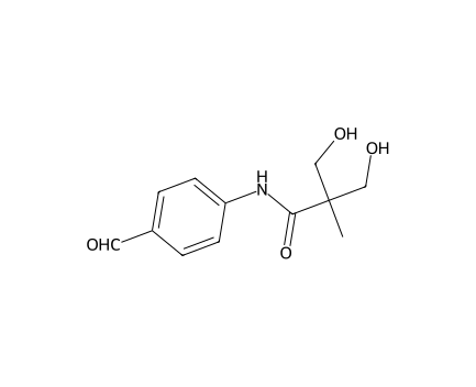 CC(CO)(CO)C(=O)Nc1ccc(C=O)cc1